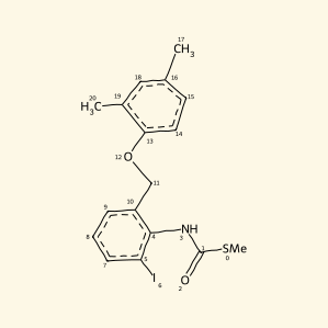 CSC(=O)Nc1c(I)cccc1COc1ccc(C)cc1C